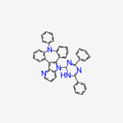 c1ccc(C2=NC(n3c4c(c5ncccc53)-c3ccccc3N(c3ccccc3)c3ccccc3-4)NC(c3ccccc3)=N2)cc1